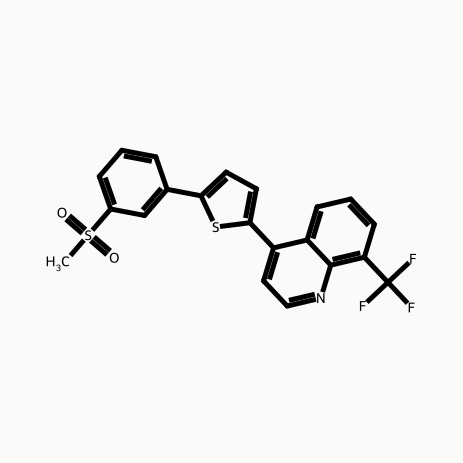 CS(=O)(=O)c1cccc(-c2ccc(-c3ccnc4c(C(F)(F)F)cccc34)s2)c1